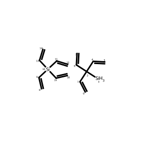 C=CC([SiH3])(C=C)C=C.C=C[Si](C=C)(C=C)C=C